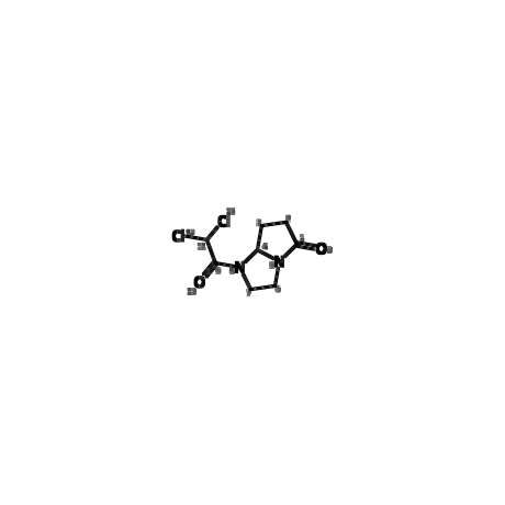 O=C1CCC2N1CCN2C(=O)C(Cl)Cl